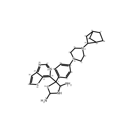 NC1NC(N)C(c2ccc(N3CCN(C4CC5CCC4C5)CC3)cc2)(c2ncnc3ccsc23)S1